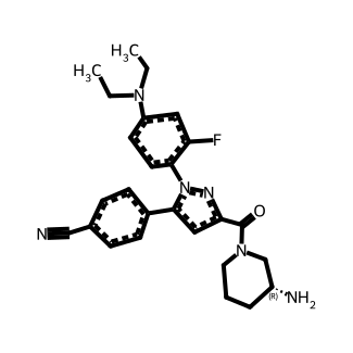 CCN(CC)c1ccc(-n2nc(C(=O)N3CCC[C@@H](N)C3)cc2-c2ccc(C#N)cc2)c(F)c1